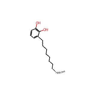 CCCCCCCCCCCCCCCCCc1cccc(O)c1O